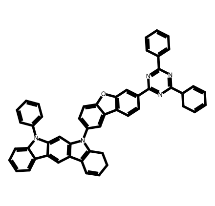 C1=CCC(c2nc(-c3ccccc3)nc(-c3ccc4c(c3)oc3ccc(-n5c6c(c7cc8c9ccccc9n(-c9ccccc9)c8cc75)C=CCC6)cc34)n2)C=C1